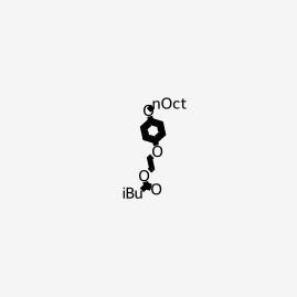 CCCCCCCCOc1ccc(OCCOC(=O)C(C)CC)cc1